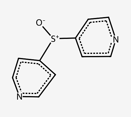 [O-][S+](c1ccncc1)c1ccncc1